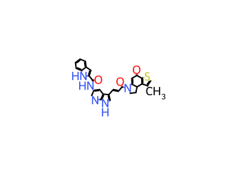 Cc1csc2c1C1CCN(C(=O)/C=C/c3c[nH]c4ncc(NC(=O)c5cc6ccccc6[nH]5)cc34)C1=CC2=O